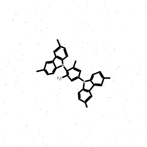 Cc1ccc2c(c1)c1cc(C)ccc1n2-c1cc(C)c(-n2c3ccc(C)cc3c3cc(C)ccc32)c(C(F)(F)F)c1